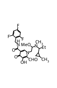 CCC(C1CC1C)N(C)C(Cn1cc(C(=O)NCc2c(F)cc(F)cc2F)c(=O)c(O)c1C=O)OC